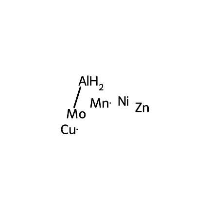 [AlH2][Mo].[Cu].[Mn].[Ni].[Zn]